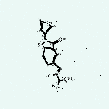 CC(C)[N+]([O-])=Cc1ccc2[se]n(-c3cc[nH]c3)c(=O)c2c1